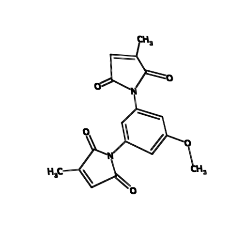 COc1cc(N2C(=O)C=C(C)C2=O)cc(N2C(=O)C=C(C)C2=O)c1